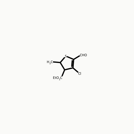 CCOC(=O)C1C(Cl)=C(C=O)SC1C